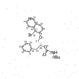 CC(C)(C)NC(=O)O[C@@H](COc1ccc2cnccc2c1Br)Cc1ccccc1